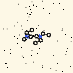 c1ccc(-c2cccc(-n3c4ccc(-c5ccc6c(c5)c5c(-c7ccccc7)cccc5n6-c5ccccc5)cc4c4c(-c5ccccc5)cccc43)c2)cc1